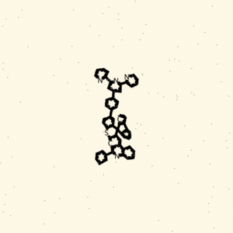 c1ccc(-c2nc3ccccc3c3cc4c(cc23)Sc2ccc(-c3ccc(-c5cc(-c6ccccn6)nc(-c6ccccn6)c5)cc3)cc2C42c3ccccc3-c3ccccc32)cc1